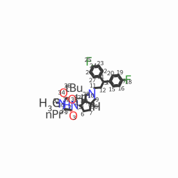 CCC[C@@H](C(=O)N[C@H]1CC[C@@H]2CN(CCC(c3ccc(F)cc3)c3ccc(F)cc3)C[C@@H]21)N(C)C(=O)OC(C)(C)C